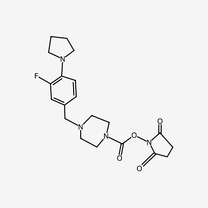 O=C(ON1C(=O)CCC1=O)N1CCN(Cc2ccc(N3CCCC3)c(F)c2)CC1